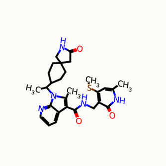 CSc1cc(C)[nH]c(=O)c1CNC(=O)c1c(C)n(C(C)C2CCC3(CC2)CNC(=O)C3)c2ncccc12